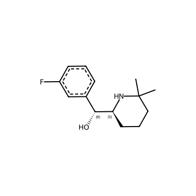 CC1(C)CCC[C@@H]([C@H](O)c2cccc(F)c2)N1